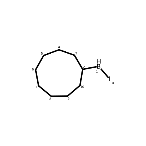 IBC1CCCCCCCC1